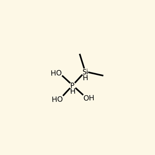 C[SiH](C)[PH](O)(O)O